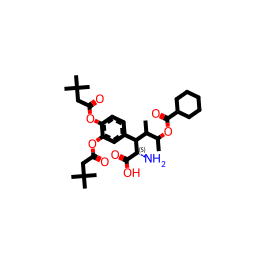 CC(OC(=O)C1CCCCC1)C(C)C(c1ccc(OC(=O)CC(C)(C)C)c(OC(=O)CC(C)(C)C)c1)[C@H](N)C(=O)O